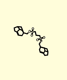 O=S(=O)(CCCS(=O)(=O)OCC12CC=C3CCC(C1)C3C2)OCC12CC=C3CCC(C1)C3C2